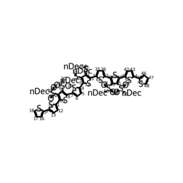 CCCCCCCCCCSc1c(-c2ccc(-c3sc(-c4ccc(-c5cccs5)s4)c(S(=O)(=O)CCCCCCCCCC)c3S(=O)(=O)CCCCCCCCCC)s2)sc(-c2ccc(-c3sc(-c4ccc(-c5cccs5)s4)c(S(=O)(=O)CCCCCCCCCC)c3S(=O)(=O)CCCCCCCCCC)s2)c1SCCCCCCCCCC